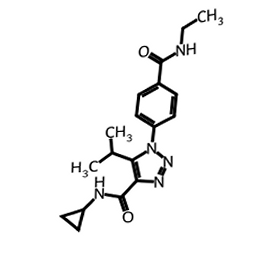 CCNC(=O)c1ccc(-n2nnc(C(=O)NC3CC3)c2C(C)C)cc1